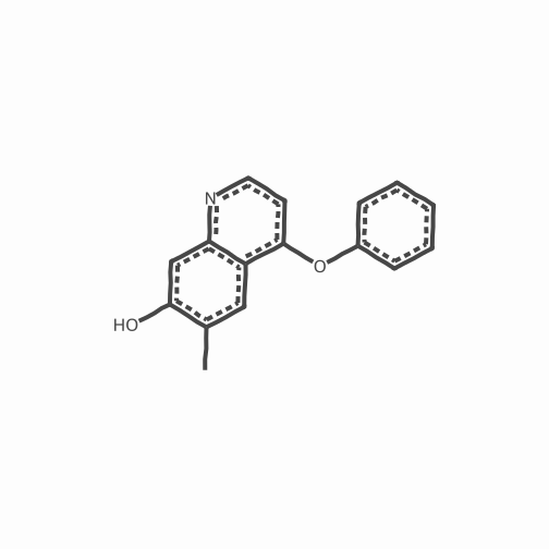 Cc1cc2c(Oc3ccccc3)ccnc2cc1O